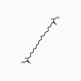 O=C(CCCCCCCCCCCCCCCCNC(=S)S)NO